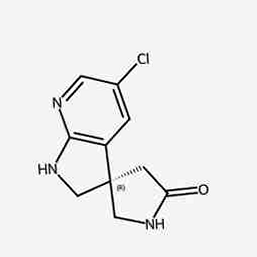 O=C1C[C@]2(CN1)CNc1ncc(Cl)cc12